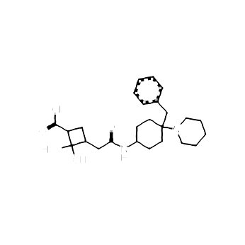 CC(=O)C1CC(CC(=O)NC2CCC(Cc3ccccc3)(N3CCCCC3)CC2)C1(C)C